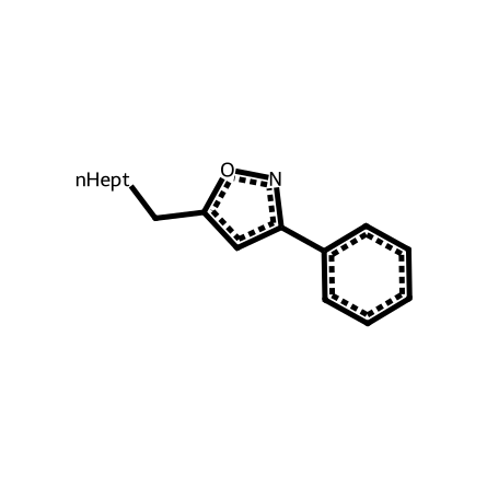 CCCCCCCCc1cc(-c2ccccc2)no1